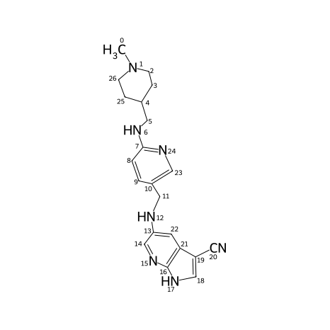 CN1CCC(CNc2ccc(CNc3cnc4[nH]cc(C#N)c4c3)cn2)CC1